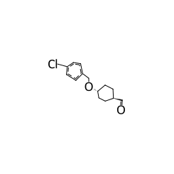 O=C[C@H]1CC[C@H](OCc2ccc(Cl)cc2)CC1